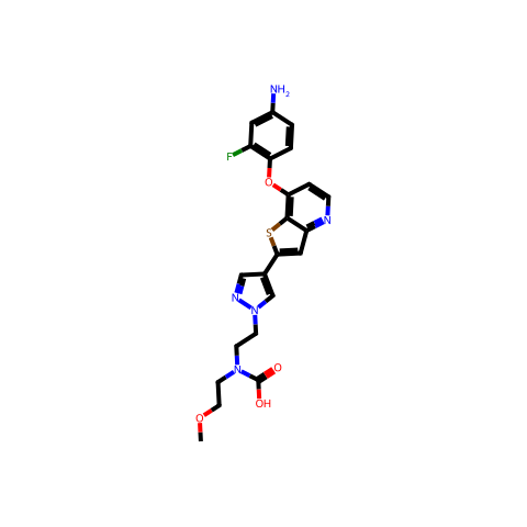 COCCN(CCn1cc(-c2cc3nccc(Oc4ccc(N)cc4F)c3s2)cn1)C(=O)O